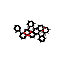 c1ccc(-c2cccc(-c3ccc4c(-c5ccccc5-c5ccccc5)c5ccccc5c(-c5ccccc5-c5ccccc5)c4c3)n2)cc1